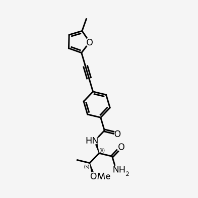 CO[C@@H](C)[C@@H](NC(=O)c1ccc(C#Cc2ccc(C)o2)cc1)C(N)=O